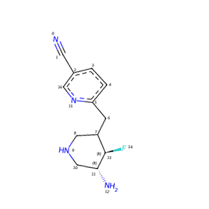 N#Cc1ccc(CC2CNC[C@@H](N)[C@@H]2F)nc1